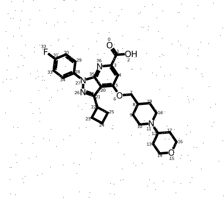 O=C(O)c1cc(OCC2CCN(C3CCOCC3)CC2)c2c(C3CCC3)nn(-c3ccc(F)cc3)c2n1